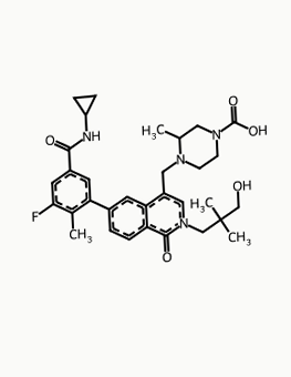 Cc1c(F)cc(C(=O)NC2CC2)cc1-c1ccc2c(=O)n(CC(C)(C)CO)cc(CN3CCN(C(=O)O)CC3C)c2c1